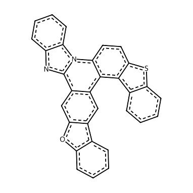 c1ccc2c(c1)nc1c3cc4oc5ccccc5c4cc3c3c4c(ccc3n21)sc1ccccc14